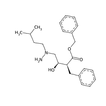 CC(C)CCN(N)C[C@H](O)[C@H](Cc1ccccc1)C(=O)OCc1ccccc1